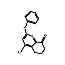 O=C1CCCc2c(Cl)cc(Oc3ccccc3)nc21